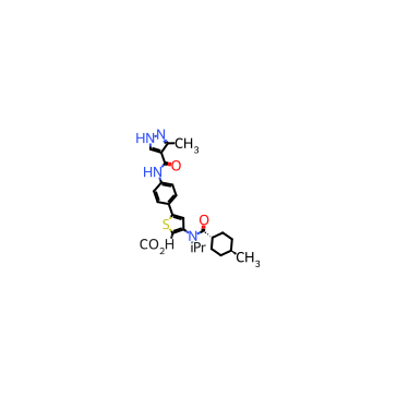 Cc1n[nH]cc1C(=O)Nc1ccc(-c2cc(N(C(=O)[C@H]3CC[C@H](C)CC3)C(C)C)c(C(=O)O)s2)cc1